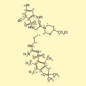 CCOC(=O)C1CCN(C(=O)[C@H](CCCN/C(N)=N/S(=O)(=O)c2c(C)c(C)c3c(c2C)CC(C)(C)O3)NS(=O)(=O)c2c(C(C)C)cc(C(C)C)cc2C(C)C)CC1